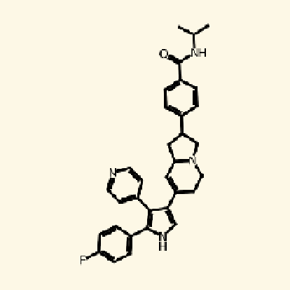 CC(C)NC(=O)c1ccc(C2CC3C=C(c4c[nH]c(-c5ccc(F)cc5)c4-c4ccncc4)CCN3C2)cc1